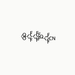 N#Cc1c(F)cc(COC(F)(F)c2c(F)cc(-c3c(F)cc(C4OCCCO4)cc3F)cc2F)cc1F